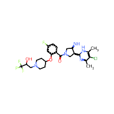 CC1=N/C(=C2\CN(C(=O)c3ccc(F)cc3OC3CCN(CC(O)C(F)(F)F)CC3)CC2=N)NC(C)=C1Cl